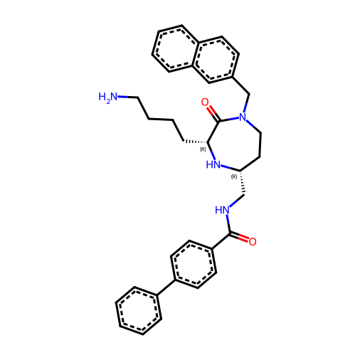 NCCCC[C@H]1N[C@@H](CNC(=O)c2ccc(-c3ccccc3)cc2)CCN(Cc2ccc3ccccc3c2)C1=O